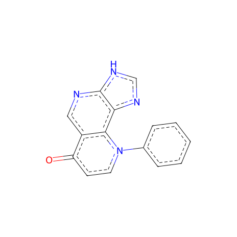 O=c1ccn(-c2ccccc2)c2c1cnc1[nH]cnc12